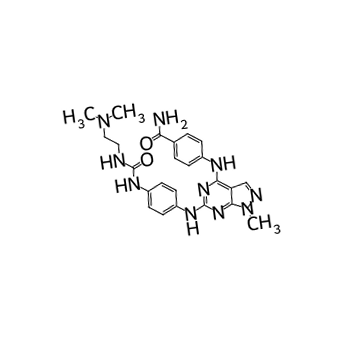 CN(C)CCNC(=O)Nc1ccc(Nc2nc(Nc3ccc(C(N)=O)cc3)c3cnn(C)c3n2)cc1